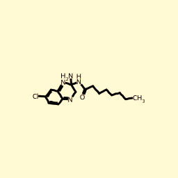 CCCCCCCC(=O)NC1(N)CN=c2ccc(Cl)cc2=N1